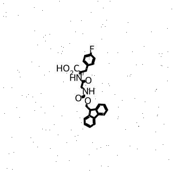 O=C(CNC(=O)OCC1c2ccccc2-c2ccccc21)N[C@@H](Cc1ccc(F)cc1)C(=O)O